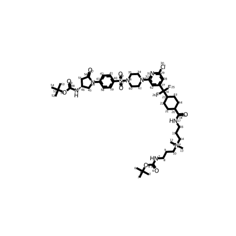 CC(C)(C)OC(=O)NCCC[N+](C)(C)CCCNC(=O)C1CCC(C(F)(F)c2cc(Cl)nc(N3CCN(S(=O)(=O)c4ccc(N5C[C@H](NC(=O)OC(C)(C)C)CC5=O)cc4)CC3)c2)CC1